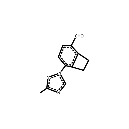 Cc1ncn(-c2ccc(C=O)c3c2CC3)n1